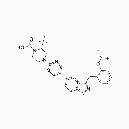 CC(C)(C)C1CN(c2ncc(-c3ccc4nnc(Cc5ccccc5OC(F)F)n4c3)cn2)CCN1C(=O)O